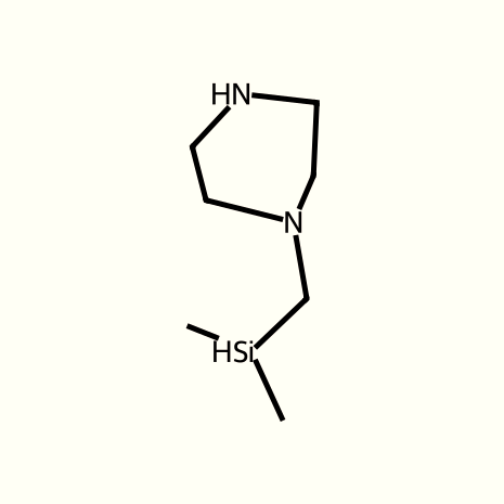 C[SiH](C)CN1CCNCC1